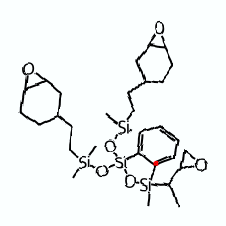 CC(C1CO1)[Si](C)(C)O[Si](O[Si](C)(C)CCC1CCC2OC2C1)(O[Si](C)(C)CCC1CCC2OC2C1)c1ccccc1